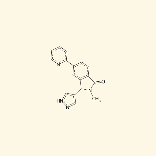 CN1C(=O)c2ccc(-c3ccccn3)cc2C1c1cn[nH]c1